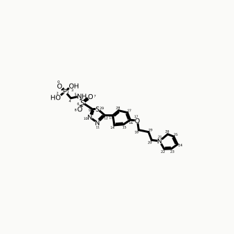 O=P(O)(O)CNS(=O)(=O)c1nnc(-c2ccc(OCCCN3C=CC=CC3)cc2)s1